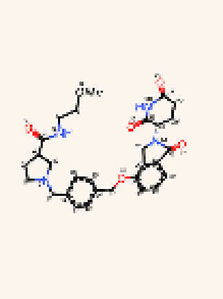 COCCNC(=O)C1CCN(Cc2ccc(COc3cccc4c3CN([C@H]3CCC(=O)NC3=O)C4=O)cc2)C1